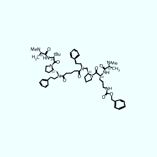 CN[C@@H](C)C(=O)N[C@@H](CCCNC(=O)OCc1ccccc1)C(=O)N1CCC[C@H]1CN(CCc1ccccc1)C(=O)CCCC(=O)N(CCc1ccccc1)C[C@@H]1CCCN1C(=O)[C@@H](NC(=O)[C@H](C)NC)C(C)(C)C